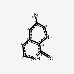 O=c1[nH]ccc2cc(Br)cnc12